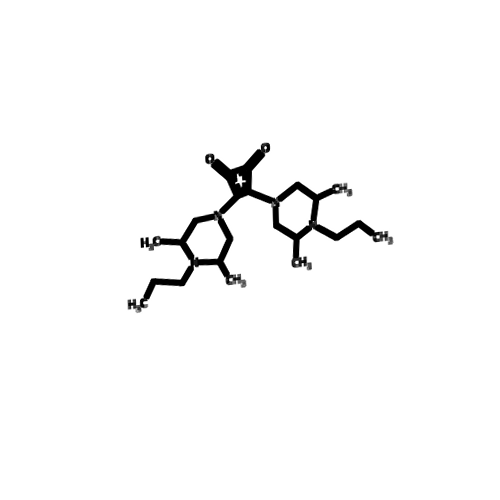 CCCN1C(C)CN(c2c(N3CC(C)N(CCC)C(C)C3)c(=O)c2=O)CC1C